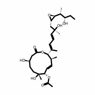 CC[C@H](O)[C@@H](C)[C@@H]1O[C@H]1C[C@@](C)(O)/C=C/C=C(\C)[C@H]1OC(=O)C[C@H](O)CC[C@@](C)(O)[C@@H](OC(C)=O)/C=C/[C@@H]1C